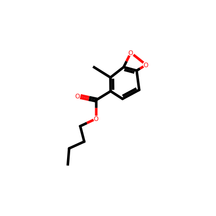 CCCCOC(=O)c1ccc2ooc2c1C